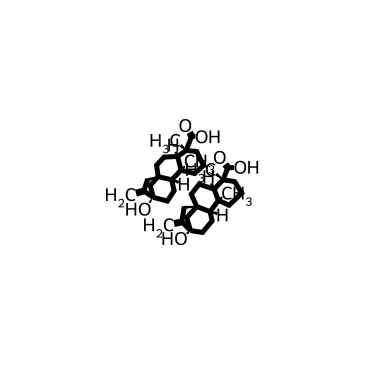 C=C1C[C@@]23CC[C@H]4[C@@](C)(CCC[C@@]4(C)C(=O)O)[C@@H]2CC[C@]1(O)C3.C=C1C[C@@]23CC[C@H]4[C@@](C)(CCC[C@@]4(C)C(=O)O)[C@@H]2CC[C@]1(O)C3